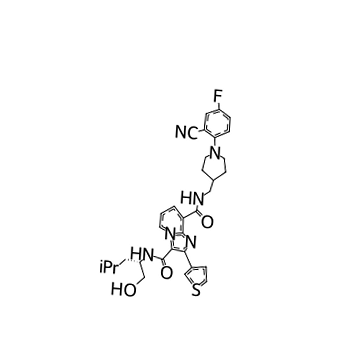 CC(C)C[C@@H](CO)NC(=O)c1c(-c2ccsc2)nc2c(C(=O)NCC3CCN(c4ccc(F)cc4C#N)CC3)cccn12